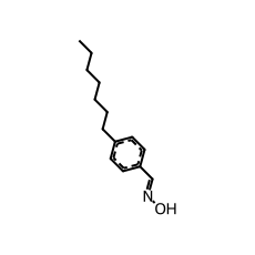 CCCCCCCc1ccc(C=NO)cc1